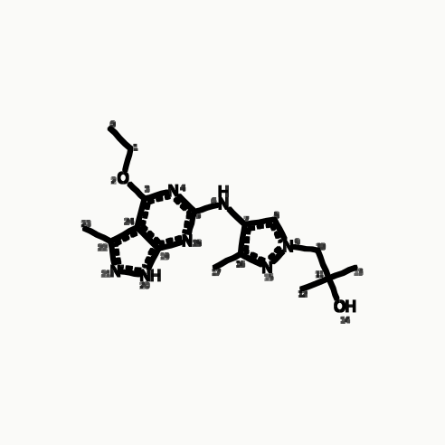 CCOc1nc(Nc2cn(CC(C)(C)O)nc2C)nc2[nH]nc(C)c12